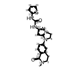 CN1CCc2cc(N3CCn4nc(NC(=O)Nc5cccs5)cc43)ccc2C1=O